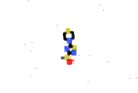 C[S+]([O-])c1nsc(N2CCSCC2)n1